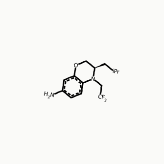 CC(C)C[C@@H]1COc2cc(N)ccc2N1CC(F)(F)F